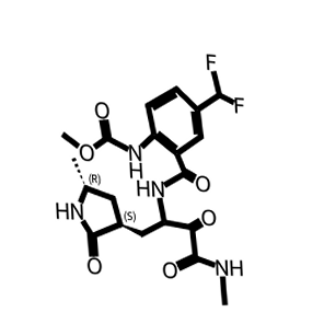 CNC(=O)C(=O)C(C[C@@H]1C[C@@H](C)NC1=O)NC(=O)c1cc(C(F)F)ccc1NC(=O)OC